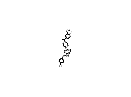 CC(c1ccc2c(c1)OCO2)N1CCN(c2nnc(NCc3ccc(Cl)cc3)s2)CC1